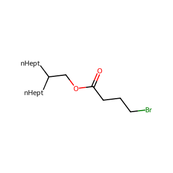 CCCCCCCC(CCCCCCC)COC(=O)CCCBr